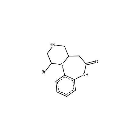 O=C1CC2CNCC(Br)N2c2ccccc2N1